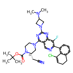 CN(C)C1CN(c2nc(N3CCN(C(=O)OC(C)(C)C)[C@@H](CC#N)C3)c3cnc(-c4cccc5c4C(Cl)=CCC5)c(F)c3n2)C1